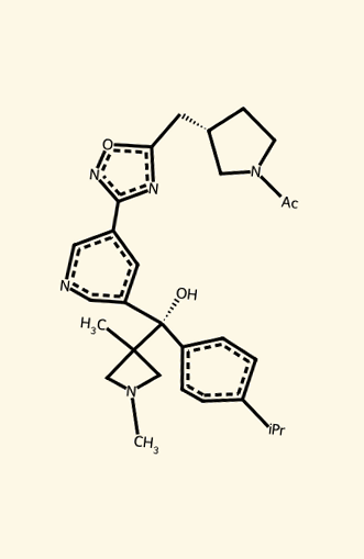 CC(=O)N1CC[C@@H](Cc2nc(-c3cncc([C@@](O)(c4ccc(C(C)C)cc4)C4(C)CN(C)C4)c3)no2)C1